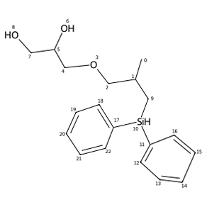 CC(COCC(O)CO)C[SiH](c1ccccc1)c1ccccc1